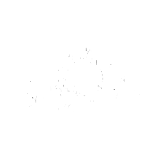 CO[C@]1(C)C[C@@H](C)CN(C)C(C2CN(CC3CC3)C2)[C@@H](C)OC(=O)C(C)(C)C(=O)[C@H](C)[C@H]1O[C@@H]1O[C@H](C)C[C@H](N(C)C)[C@H]1O